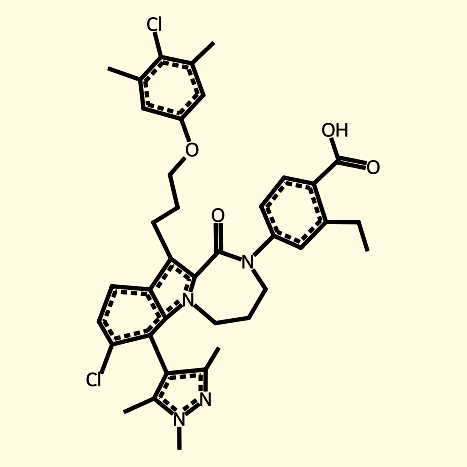 CCc1cc(N2CCCn3c(c(CCCOc4cc(C)c(Cl)c(C)c4)c4ccc(Cl)c(-c5c(C)nn(C)c5C)c43)C2=O)ccc1C(=O)O